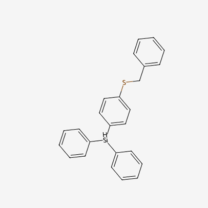 c1ccc(CSc2ccc([SiH](c3ccccc3)c3ccccc3)cc2)cc1